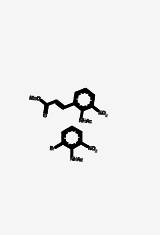 CC(=O)Nc1c(Br)cccc1[N+](=O)[O-].COC(=O)C=Cc1cccc([N+](=O)[O-])c1NC(C)=O